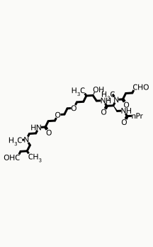 CCCC(=O)NC[C@@H](C(=O)NC[C@@H](O)C(C)CCOCCOCCC(=O)NCCN(C)CC(C)CC=O)N(C)C(=O)CCC=O